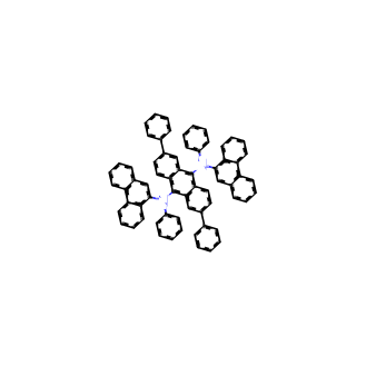 c1ccc(-c2ccc3c(N(c4ccccc4)c4cc5ccccc5c5ccccc45)c4cc(-c5ccccc5)ccc4c(N(c4ccccc4)c4cc5ccccc5c5ccccc45)c3c2)cc1